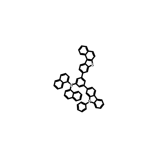 c1ccc(-n2c3ccccc3c3ccc(-c4cc(-c5ccc6c(c5)sc5ccc7ccccc7c56)cc(N(c5cccc6ccccc56)c5cccc6ccccc56)c4)cc32)cc1